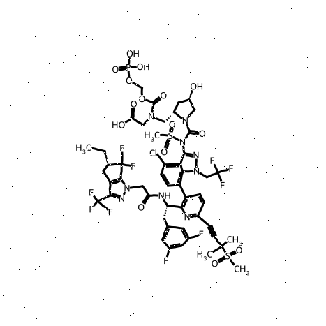 CC[C@@H]1Cc2c(C(F)(F)F)nn(CC(=O)N[C@@H](Cc3cc(F)cc(F)c3)c3nc(C#CC(C)(C)S(C)(=O)=O)ccc3-c3ccc(Cl)c4c(N(C(=O)N5C[C@H](O)C[C@H]5CN(CC(=O)O)C(=O)OCOP(=O)(O)O)S(C)(=O)=O)nn(CC(F)(F)F)c34)c2C1(F)F